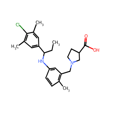 CCC(Nc1ccc(C)c(CN2CCC(C(=O)O)C2)c1)c1cc(C)c(Cl)c(C)c1